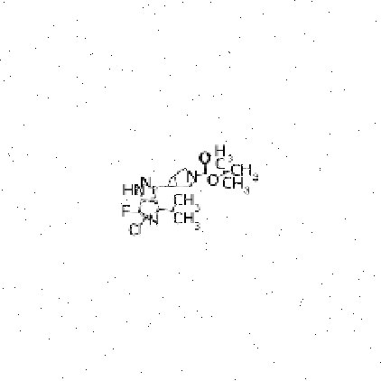 CC(C)c1nc(Cl)c(F)c2[nH]nc(C3C4CN(C(=O)OC(C)(C)C)CC43)c12